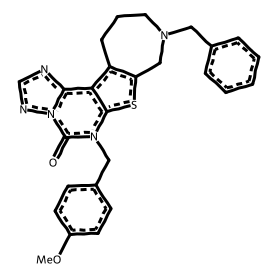 COc1ccc(Cn2c(=O)n3ncnc3c3c4c(sc32)CN(Cc2ccccc2)CCC4)cc1